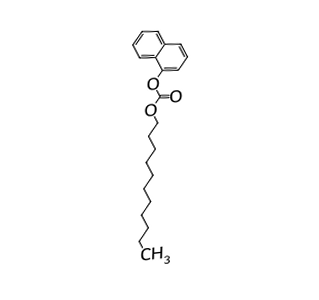 CCCCCCCCCCCOC(=O)Oc1cccc2ccccc12